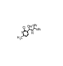 CCCC(CCC)NC(O)c1ccc(C)nc1Cl